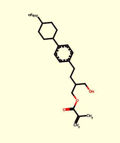 C=C(C)C(=O)OCC(CO)CCc1ccc(C2CCC(CCCCC)CC2)cc1